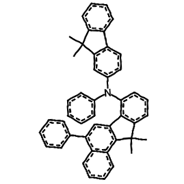 CC1(C)c2ccccc2-c2ccc(N(c3ccccc3)c3cccc4c3-c3cc(-c5ccccc5)c5ccccc5c3C4(C)C)cc21